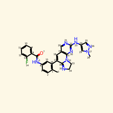 Cc1ccc(NC(=O)c2ccccc2F)cc1C1=Cc2cnc(Nc3cnn(C)c3)nc2N2CCN=C12